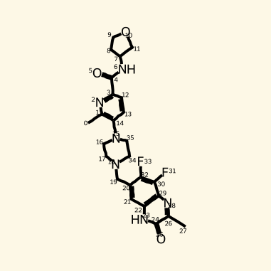 Cc1nc(C(=O)NC2CCOC2)ccc1N1CCN(Cc2cc3[nH]c(=O)c(C)nc3c(F)c2F)CC1